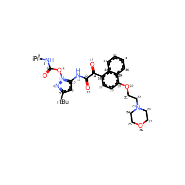 CC(C)NC(=O)On1nc(C(C)(C)C)cc1NC(=O)C(=O)c1ccc(OCCN2CCOCC2)c2ccccc12